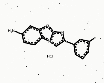 Cc1cccc(-c2cn3c(n2)sc2cc(N)ccc23)c1.Cl